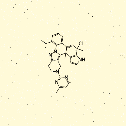 CCc1cccc2c1-n1nc3c(c1C1(C)C2=CC(C)(Cl)c2[nH]ccc21)CN(c1nc(C)cc(C)n1)CC3